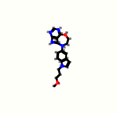 COCCCn1ccc2cc(N3CCOc4ncnc5c4C3=N5)ccc21